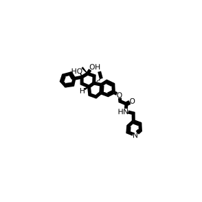 CC[C@@]12C[C@@](C)(O)[C@](O)(c3ccccc3)C[C@H]1CCc1cc(OCC(=O)NCc3ccncc3)ccc12